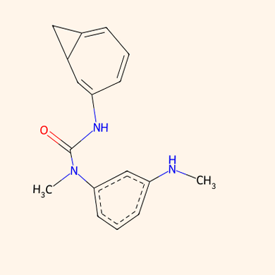 CNc1cccc(N(C)C(=O)NC2=CC3CC3=CC=C2)c1